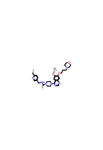 COc1cc2c(N3CCN(C(=S)NCc4ccc(CF)nc4)CC3)ncnc2cc1OCCCN1CCOCC1